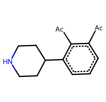 CC(=O)c1cccc(C2CCNCC2)c1C(C)=O